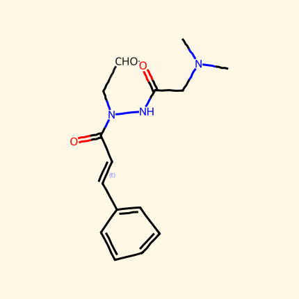 CN(C)CC(=O)NN(C[C]=O)C(=O)/C=C/c1ccccc1